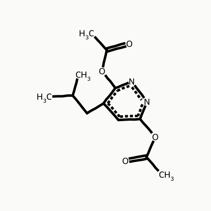 CC(=O)Oc1cc(CC(C)C)c(OC(C)=O)nn1